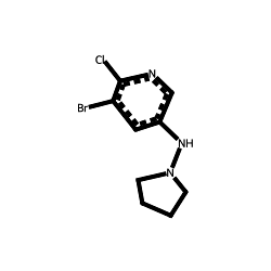 Clc1ncc(NN2CCCC2)cc1Br